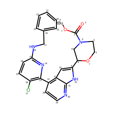 CC(C)(C)OC(=O)N1CCOC(c2cc3c(-c4nc(NCc5ccccc5)ccc4Cl)ccnc3[nH]2)C1